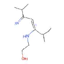 CC(C)C(=N)/C=C(\NCCO)C(C)C